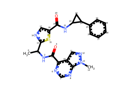 CC(NC(=O)c1ncnc2c1cnn2C)c1ncc(C(=O)NC2CC2c2ccccc2)s1